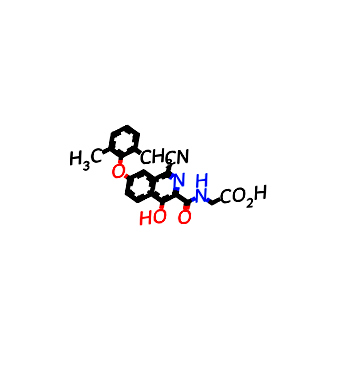 Cc1cccc(C)c1Oc1ccc2c(O)c(C(=O)NCC(=O)O)nc(C#N)c2c1